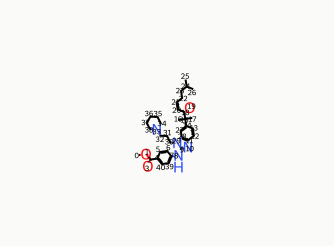 COC(=O)c1ccc(Nc2nc3ccc(C(C)(C)C(=O)/C=C\CCC(C)C)cc3n2CCCN2CCCCC2)cc1